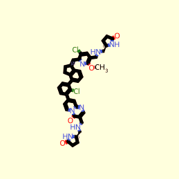 COc1nc(/C=C2/CCc3c2cccc3-c2cccc(-c3ccn4c(=O)c(CNC[C@H]5CCC(=O)N5)cnc4c3)c2Cl)c(Cl)cc1CNC[C@H]1CCC(=O)N1